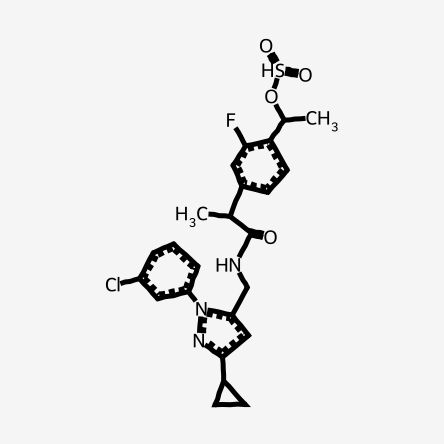 CC(O[SH](=O)=O)c1ccc(C(C)C(=O)NCc2cc(C3CC3)nn2-c2cccc(Cl)c2)cc1F